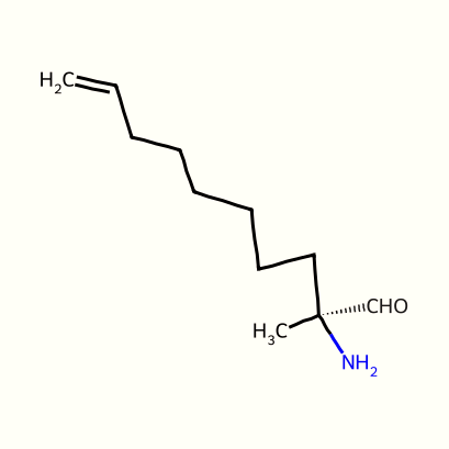 C=CCCCCCC[C@](C)(N)C=O